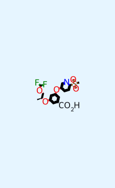 C[C@@H](COC(F)F)Oc1cc(Oc2ccc(S(C)(=O)=O)nc2)cc(C(=O)O)c1